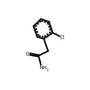 NC(=O)Cc1ccccc1Cl